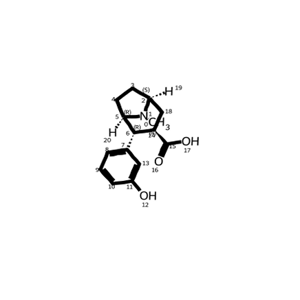 CN1[C@H]2CC[C@@H]1[C@@H](c1cccc(O)c1)[C@H](C(=O)O)C2